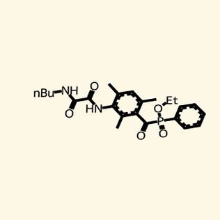 CCCCNC(=O)C(=O)Nc1c(C)cc(C)c(C(=O)P(=O)(OCC)c2ccccc2)c1C